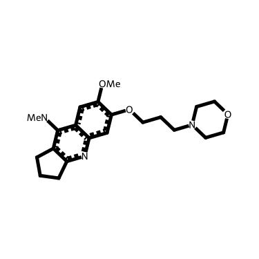 CNc1c2c(nc3cc(OCCCN4CCOCC4)c(OC)cc13)CCC2